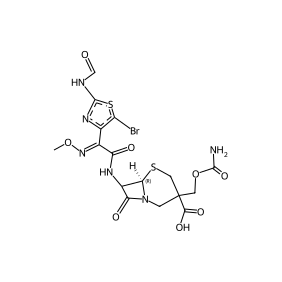 CON=C(C(=O)NC1C(=O)N2CC(COC(N)=O)(C(=O)O)CS[C@H]12)c1nc(NC=O)sc1Br